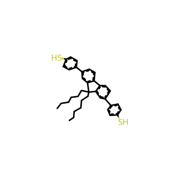 CCCCCCC1(CCCCCC)c2cc(-c3ccc(S)cc3)ccc2-c2ccc(-c3ccc(S)cc3)cc21